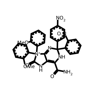 COc1ccccc1[N+]1(c2ccccc2OC)C(=O)NC2=C(C(N)=O)NC(c3ccc([N+](=O)[O-])cc3)(c3ccccc3[N+](=O)[O-])N=C21